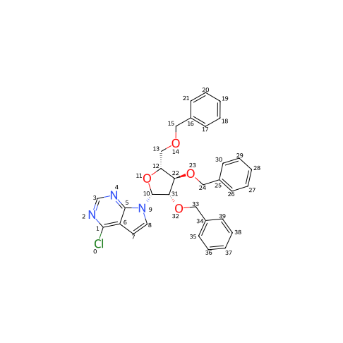 Clc1ncnc2c1ccn2[C@@H]1O[C@H](COCc2ccccc2)[C@@H](OCc2ccccc2)[C@@H]1OCc1ccccc1